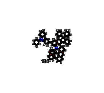 CC(C)(C)c1cc(-c2cccc3cccc(-c4ccccc4N(c4cccc(-c5ccc6c(c5)c5ccccc5n6-c5ccccc5)c4)c4ccccc4-c4cccc5c4-c4ccccc4C5(c4ccccc4)c4ccccc4)c23)cc(C(C)(C)C)c1